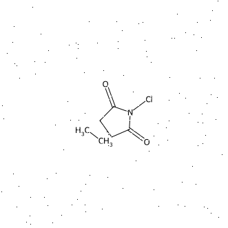 CC.O=C1CCC(=O)N1Cl